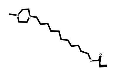 C=CC(=O)OCCCCCCCCCCCN1CCN(C)CC1